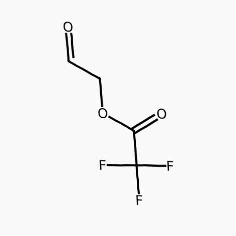 O=CCOC(=O)C(F)(F)F